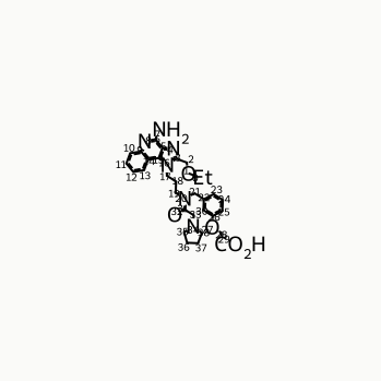 CCOCc1nc2c(N)nc3ccccc3c2n1CCCN(Cc1cccc(OCC(=O)O)c1)C(=O)CN1CCCC1